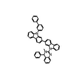 CN1C(n2c3ccccc3c3ccc(-c4ccc5c6ccccc6n(-c6cccc(-c7ccccc7)c6)c5c4)cc32)=Nc2ccccc2C1c1ccccc1